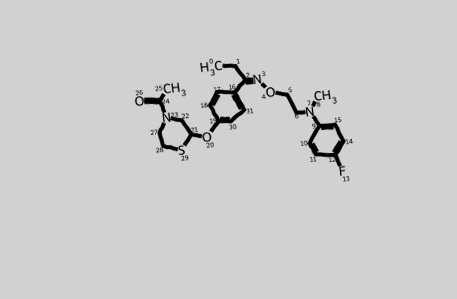 CCC(=NOCCN(C)c1ccc(F)cc1)c1ccc(OC2CN(C(C)=O)CCS2)cc1